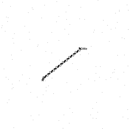 COC(C)OCCOCCOCCOCCOCCOCCOCCOCCOCCOCCOCCN=[N+]=[N-]